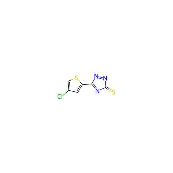 S=C1N=NC(c2cc(Cl)cs2)=N1